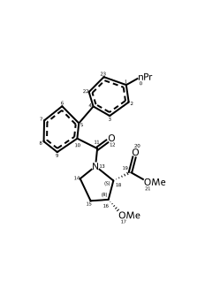 CCCc1ccc(-c2ccccc2C(=O)N2CC[C@@H](OC)[C@H]2C(=O)OC)cc1